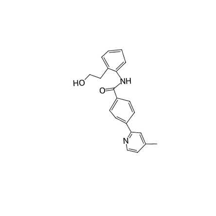 Cc1ccnc(-c2ccc(C(=O)Nc3ccccc3CCO)cc2)c1